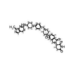 Cn1ncc2cnc(NC3CCN(c4ccc(CN5CCC(O)(c6ccc7c(c6)CN(C6CCC(=O)NC6=O)C7=O)CC5)cc4)CC3)nc21